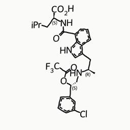 CC(C)C[C@H](NC(=O)c1cccc2c(C[C@@H](C)NC[C@@H](OC(=O)C(F)(F)F)c3cccc(Cl)c3)c[nH]c12)C(=O)O